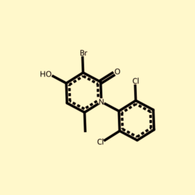 Cc1cc(O)c(Br)c(=O)n1-c1c(Cl)cccc1Cl